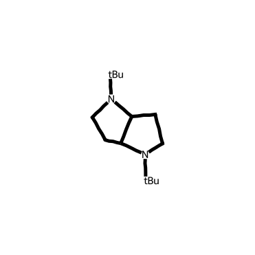 CC(C)(C)N1CCC2C1CCN2C(C)(C)C